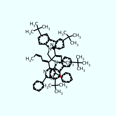 C/C=C\C=C(\c1cc(-c2ccccc2)nc(-c2ccccc2)n1)C(Cn1c2ccc(C(C)(C)C)cc2c2cc(C(C)(C)C)ccc21)(/C(C#N)=C\CC)n1c2ccc(C(C)(C)C)cc2c2cc(C(C)(C)C)ccc21